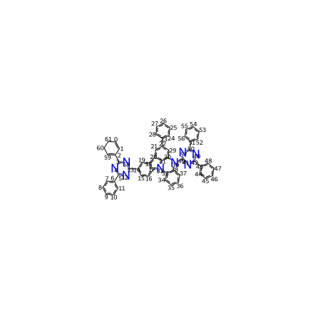 C1=CC(c2nc(-c3ccccc3)nc(-c3ccc4c(c3)c3cc(-c5ccccc5)cc5c3n4-c3ccccc3N5c3nc(-c4ccccc4)nc(-c4ccccc4)n3)n2)=CCC1